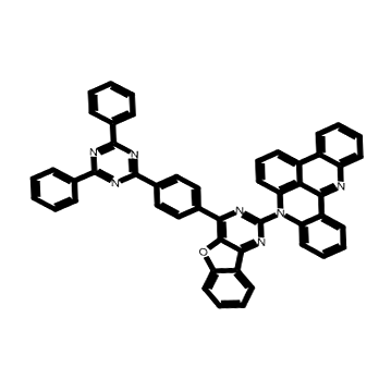 c1ccc(-c2nc(-c3ccccc3)nc(-c3ccc(-c4nc(N5c6ccccc6-c6nc7ccccc7c7cccc5c67)nc5c4oc4ccccc45)cc3)n2)cc1